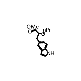 CCCOC(Cc1ccc2[nH]ccc2c1)C(=O)OC